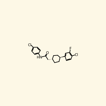 O=C(C[C@H]1CC[C@H](c2ccc(Cl)c(F)c2)CC1)Nc1ccc(Cl)cc1